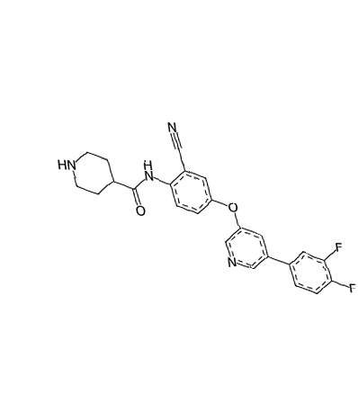 N#Cc1cc(Oc2cncc(-c3ccc(F)c(F)c3)c2)ccc1NC(=O)C1CCNCC1